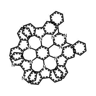 c1ccc(-c2nc(-c3ccccc3)nc(-c3c(-n4c5ccccc5c5ccccc54)c(-n4c5ccccc5c5ccccc54)c(-n4c5cccnc5c5ncccc54)c(-n4c5ccccc5c5ccccc54)c3-n3c4ccccc4c4ccccc43)n2)cc1